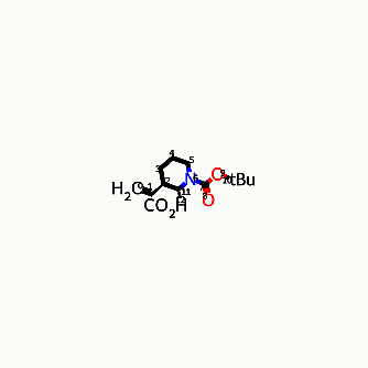 C=C[C@H]1CCCN(C(=O)OC(C)(C)C)[C@H]1C(=O)O